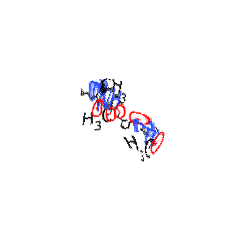 COc1c(CNC(=O)c2cc(C3CC3)nn2C)cccc1OCc1cccc(C(=O)N2CCN(C(C)=O)CC2)c1